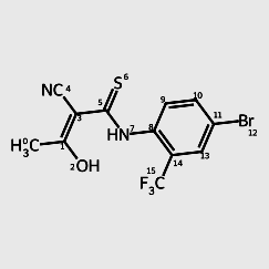 CC(O)=C(C#N)C(=S)Nc1ccc(Br)cc1C(F)(F)F